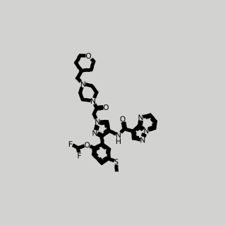 CSc1ccc(OC(F)F)c(-c2nn(CC(=O)N3CCN(CC4CCOCC4)CC3)cc2NC(=O)c2cnn3cccnc23)c1